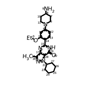 CCOc1cc(N2CCC(N)CC2)ccc1-c1nc2c(C)nn(C3CCCCC3)c2c(=O)[nH]1